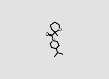 CC(C)C1CCN(C(=O)C2(C)CCCCO2)CC1